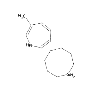 C1CCC[SiH2]CCC1.CC1=CNC=CC=C1